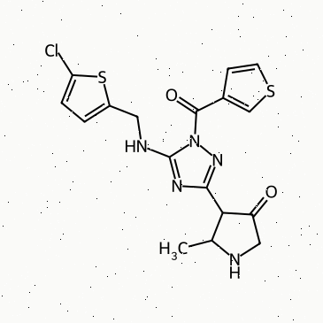 CC1NCC(=O)C1c1nc(NCc2ccc(Cl)s2)n(C(=O)c2ccsc2)n1